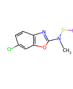 CN(SI)c1nc2ccc(Cl)cc2o1